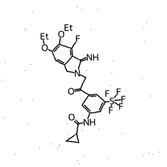 CCOc1cc2c(c(F)c1OCC)C(=N)N(CC(=O)c1cc(NC(=O)C3CC3)cc(S(F)(F)(F)(F)F)c1)C2